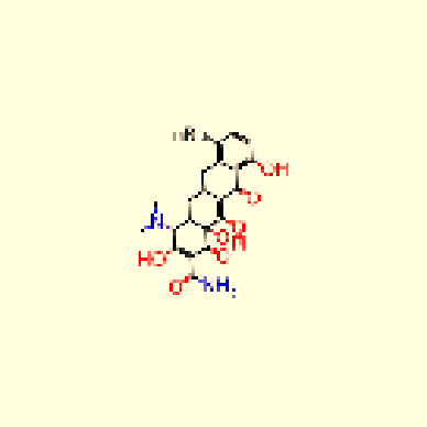 CCCCc1ccc(O)c2c1CC1CC3C(N(C)C)C(O)=C(C(N)=O)C(=O)C3(O)C(O)=C1C2=O